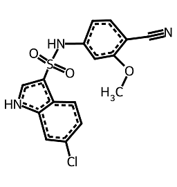 COc1cc(NS(=O)(=O)c2c[nH]c3cc(Cl)ccc23)ccc1C#N